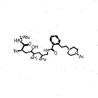 CCCCNC(=O)C(CC(O)C(N)CC(CNC(=O)c1ccccc1CCN1CCN(C(C)=O)CC1)C(C)C)C(C)C